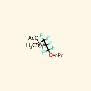 CCCOC(F)(F)C(F)(F)C(F)(F)[Si](C)(OC(C)=O)OC(C)=O